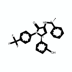 C[C@@H](NC1=C[C@@H](c2cccc(O)c2)N(c2ccc(C(F)(F)F)cc2)C1=O)c1ccccc1